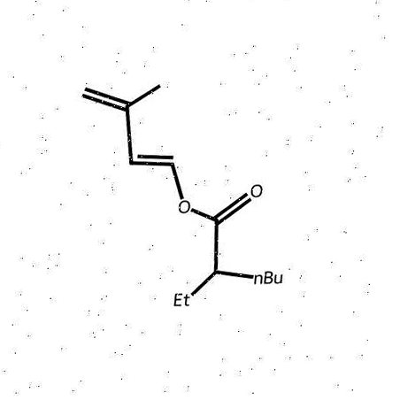 C=C(C)C=COC(=O)C(CC)CCCC